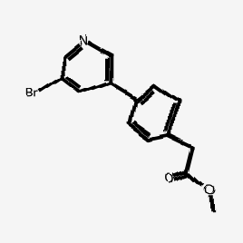 COC(=O)Cc1ccc(-c2cncc(Br)c2)cc1